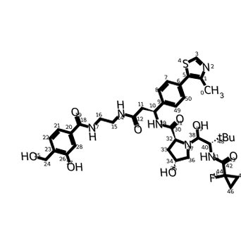 Cc1ncsc1-c1ccc([C@H](CC(=O)NCCNC(=O)c2ccc(CO)c(O)c2)NC(=O)[C@@H]2C[C@@H](O)CN2C(O)[C@@H](NC(=O)C2(F)CC2)C(C)(C)C)cc1